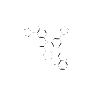 Cc1ccc(NC(=O)C2CCCN(C(=O)c3c(C)cccc3F)[C@H]2c2ccc(N3CCCC3)cc2)cc1N1CCCC1